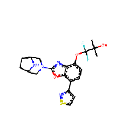 CC(C)(O)C(F)(F)Oc1ccc(-c2ccsn2)c2oc(N3CC4CCC(C3)N4)nc12